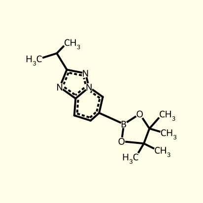 CC(C)c1nc2ccc(B3OC(C)(C)C(C)(C)O3)cn2n1